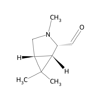 CN1C[C@@H]2[C@H]([C@H]1C=O)C2(C)C